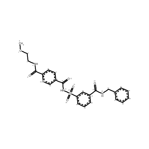 COCCNC(=O)c1ccc(C(=O)NS(=O)(=O)c2cccc(C(=O)NCc3ccccc3)c2)cn1